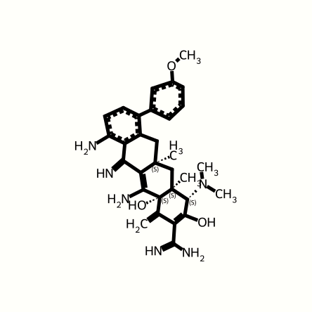 C=C1C(C(=N)N)=C(O)[C@@H](N(C)C)[C@]2(C)C[C@]3(C)Cc4c(-c5cccc(OC)c5)ccc(N)c4C(=N)C3=C(N)[C@]12O